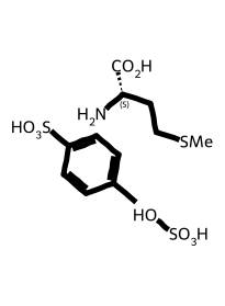 CSCC[C@H](N)C(=O)O.Cc1ccc(S(=O)(=O)O)cc1.O=S(=O)(O)O